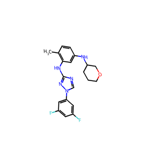 Cc1ccc(NC2CCCOC2)cc1Nc1ncn(-c2cc(F)cc(F)c2)n1